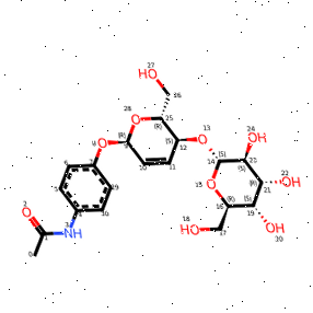 CC(=O)Nc1ccc(O[C@@H]2C=C[C@H](O[C@H]3O[C@H](CO)[C@@H](O)[C@@H](O)[C@@H]3O)[C@@H](CO)O2)cc1